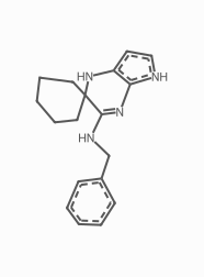 c1ccc(CNC2=Nc3[nH]ccc3NC23CCCCC3)cc1